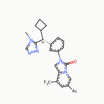 CC(=O)c1cc(C(F)(F)F)c2cn(-c3cccc([C@H](c4nncn4C)C4CCC4)c3)c(=O)n2c1